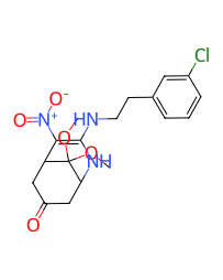 COC1(OC)C2CC(=O)CC1C([N+](=O)[O-])=C(NCCc1cccc(Cl)c1)N2